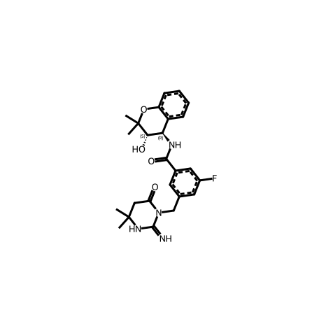 CC1(C)CC(=O)N(Cc2cc(F)cc(C(=O)N[C@@H]3c4ccccc4OC(C)(C)[C@H]3O)c2)C(=N)N1